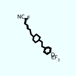 N#CC(F)=CC=CCCC1CCC(CCc2ccc(OC(F)(F)F)cc2)CC1